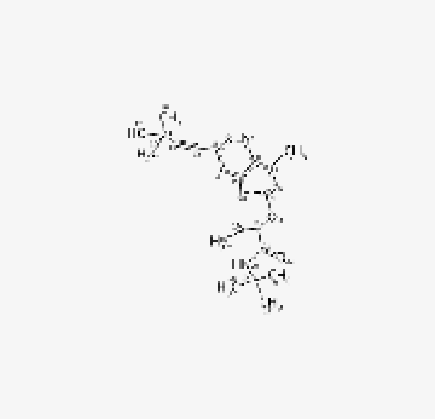 CSC(Oc1cc(C)c2ncc(C#CC(C)(C)O)cc2c1)C(=O)NC(C)(C)C